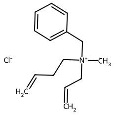 C=CCC[N+](C)(CC=C)Cc1ccccc1.[Cl-]